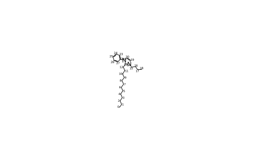 CCCCCCCCCCCCCC1N(CCCC)C=CN1c1ccccc1